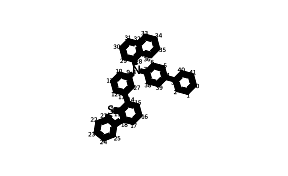 c1ccc(-c2ccc(N(c3cccc(-c4cccc5c4sc4ccccc45)c3)c3cccc4ccccc34)cc2)cc1